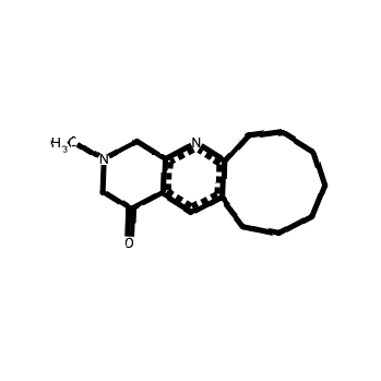 CN1CC(=O)c2cc3c(nc2C1)CCCCCCC3